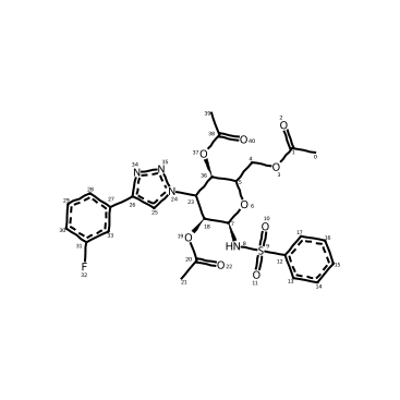 CC(=O)OCC1O[C@@H](NS(=O)(=O)c2ccccc2)[C@@H](OC(C)=O)C(n2cc(-c3cccc(F)c3)nn2)[C@H]1OC(C)=O